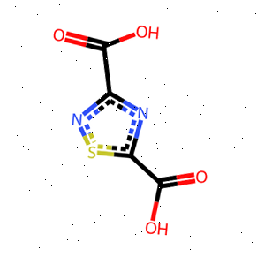 O=C(O)c1nsc(C(=O)O)n1